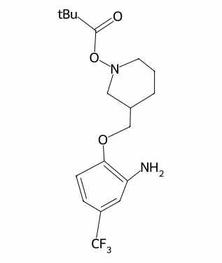 CC(C)(C)C(=O)ON1CCCC(COc2ccc(C(F)(F)F)cc2N)C1